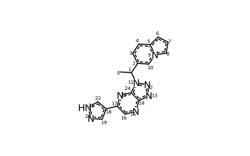 CC(c1ccc2cccn2c1)n1nnc2ncc(-c3cn[nH]c3)nc21